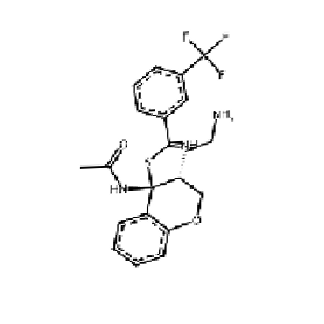 CC(=O)N[C@]1(SC(=N)c2cccc(C(F)(F)F)c2)c2ccccc2OC[C@H]1CCN